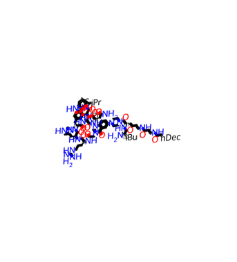 CCCCCCCCCCCC(=O)NCCC(=O)NCCCC[C@H](NC(=O)[C@@H](N)[C@@H](C)CC)C(=O)N1CCN(c2ccc3ncn(CC(=O)N[C@@H](CCCNC(=N)N)C(=O)N[C@@H](Cc4c[nH]cn4)C(=O)N[C@@H](Cc4ccc(O)cc4)C(=O)N[C@@H](CC(C)C)C(=O)N[C@@H](CC(N)=O)C(=O)N[C@@H](Cc4c[nH]c5ccccc45)C(=O)N[C@H](C(C)=O)C(C)C)c(=O)c3c2)CC1